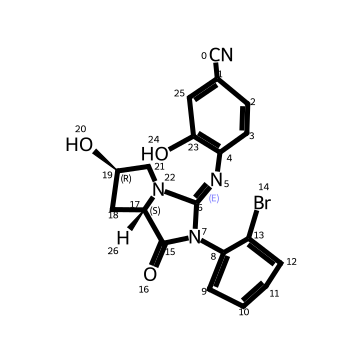 N#Cc1ccc(/N=C2/N(c3ccccc3Br)C(=O)[C@@H]3C[C@@H](O)CN23)c(O)c1